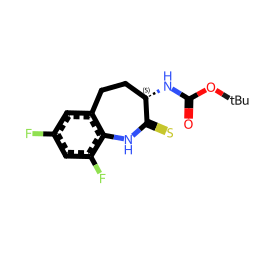 CC(C)(C)OC(=O)N[C@H]1CCc2cc(F)cc(F)c2NC1=S